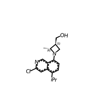 CC(C)c1ccc(N2C[C@H](CO)[C@H]2C)c2cnc(Cl)cc12